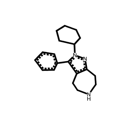 c1ccc(-c2c3c(nn2C2CCCCC2)CCNCC3)cc1